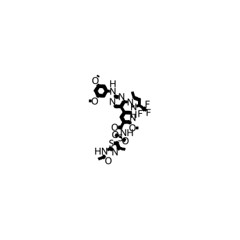 COc1cc(Nc2ncc(-c3cnc(OC)c(C(=O)NS(=O)(=O)c4sc(NC(C)=O)nc4C)c3)c(N3NC(C(F)(F)F)C=C3C)n2)cc(OC)c1